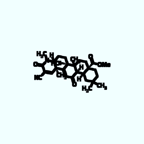 C#C[C@@]12CC[C@H]3N(C)C(=O)C(C#N)=C[C@]3(C)C1=CC(=O)[C@@H]1[C@@H]3CC(C)(C)CC[C@]3(C(=O)OC)CC[C@]12C